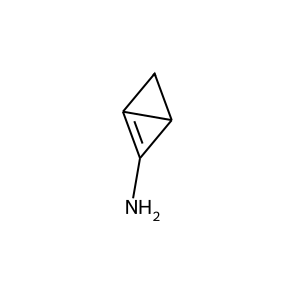 NC1=C2CC12